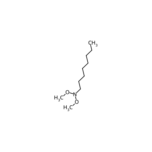 CCCCCCCCN(OC)OC